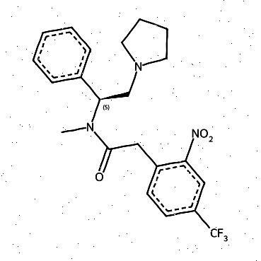 CN(C(=O)Cc1ccc(C(F)(F)F)cc1[N+](=O)[O-])[C@H](CN1CCCC1)c1ccccc1